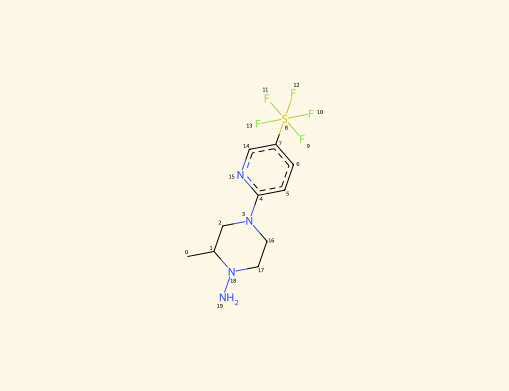 CC1CN(c2ccc(S(F)(F)(F)(F)F)cn2)CCN1N